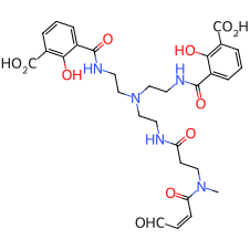 CN(CCC(=O)NCCN(CCNC(=O)c1cccc(C(=O)O)c1O)CCNC(=O)c1cccc(C(=O)O)c1O)C(=O)/C=C\C=O